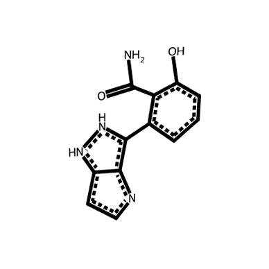 NC(=O)c1c(O)cccc1-c1[nH][nH]c2ccnc1-2